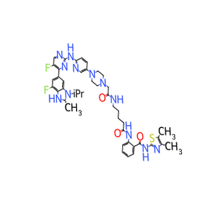 Cc1nc(NC(=O)c2ccccc2NC(=O)CCCCNC(=O)CN2CCN(c3ccc(Nc4ncc(F)c(-c5cc(F)c6c(c5)N(C(C)C)C(C)N6)n4)nc3)CC2)sc1C